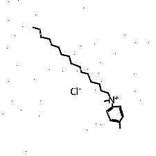 CCCCCCCCCCCCCCCC[N+](C)(C)c1ccc(C)cc1.[Cl-]